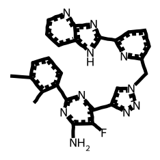 Cc1cccc(-c2nc(N)c(F)c(-c3cn(Cc4cccc(-c5nc6ncccc6[nH]5)n4)nn3)n2)c1C